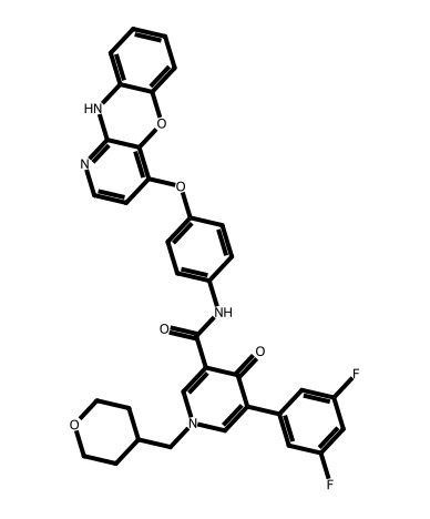 O=C(Nc1ccc(Oc2ccnc3c2Oc2ccccc2N3)cc1)c1cn(CC2CCOCC2)cc(-c2cc(F)cc(F)c2)c1=O